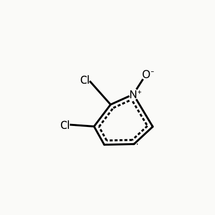 [O-][n+]1c[c]cc(Cl)c1Cl